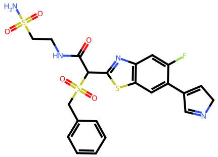 NS(=O)(=O)CCNC(=O)C(c1nc2cc(F)c(C3=CCN=C3)cc2s1)S(=O)(=O)Cc1ccccc1